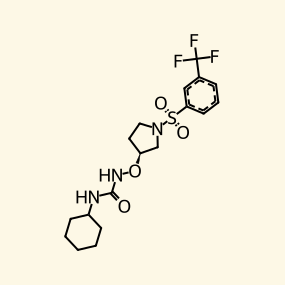 O=C(NO[C@H]1CCN(S(=O)(=O)c2cccc(C(F)(F)F)c2)C1)NC1CCCCC1